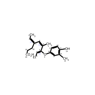 C\C=C(/C=C(C)\C(=C\CC)Oc1ccc(O)c(C)c1)CCC(=O)O